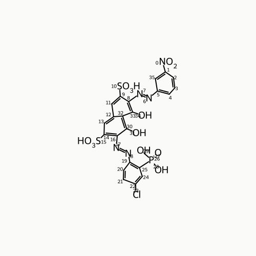 O=[N+]([O-])c1cccc(N=Nc2c(S(=O)(=O)O)cc3cc(S(=O)(=O)O)c(N=Nc4ccc(Cl)cc4P(=O)(O)O)c(O)c3c2O)c1